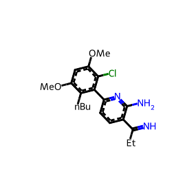 CCCCc1c(OC)cc(OC)c(Cl)c1-c1ccc(C(=N)CC)c(N)n1